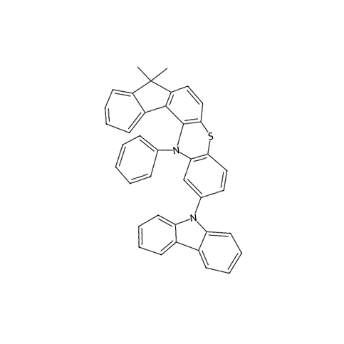 CC1(C)c2ccccc2-c2c1ccc1c2N(c2ccccc2)c2cc(-n3c4ccccc4c4ccccc43)ccc2S1